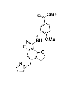 COC(=O)c1ccc(OC)c(SNc2noc3cc(Cn4cccn4)c4c(c23)OCC4)c1